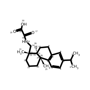 CC(C)c1ccc2c(c1)CC[C@@H]1[C@@](C)(CNC(=O)C(=O)O)CCC[C@@]21C